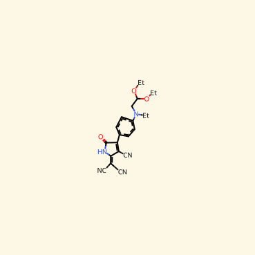 CCOC(CN(CC)c1ccc(C2=C(C#N)C(=C(C#N)C#N)NC2=O)cc1)OCC